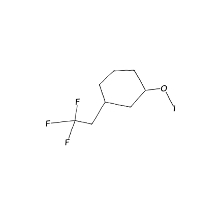 FC(F)(F)CC1CCCC(OI)C1